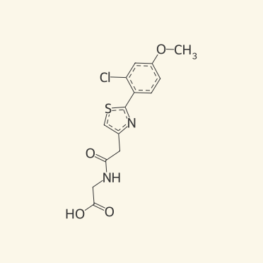 COc1ccc(-c2nc(CC(=O)NCC(=O)O)cs2)c(Cl)c1